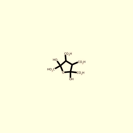 O=C(O)C1C(C(=O)O)C(O)(C(=O)O)OC1(O)C(=O)O